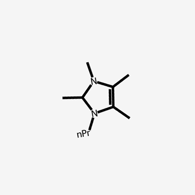 CCCN1C(C)=C(C)N(C)C1C